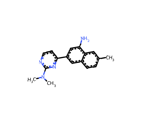 Cc1ccc2cc(-c3ccnc(N(C)C)n3)cc(N)c2c1